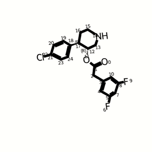 O=C(Cc1cc(F)cc(F)c1)O[C@H]1CNCC[C@@H]1c1ccc(Cl)cc1